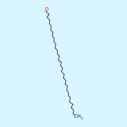 CCCCCCCCCCCCCCCCCCCCCCCCCCCCCCCCCCC[C]=O